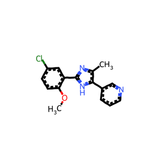 COc1ccc(Cl)cc1-c1nc(C)c(-c2cccnc2)[nH]1